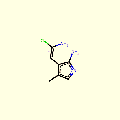 Cc1c[nH]c(N)c1/C=C(\N)Cl